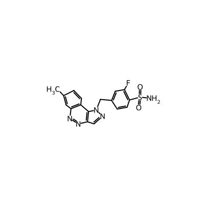 Cc1ccc2c(c1)nnc1cnn(Cc3ccc(S(N)(=O)=O)c(F)c3)c12